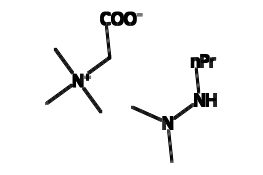 CCCNN(C)C.C[N+](C)(C)CC(=O)[O-]